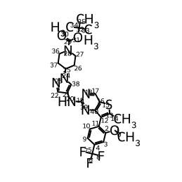 COc1cc(C(F)(F)F)ccc1-c1c(C)sc2cnc(Nc3cnn(C4CCN(C(=O)OC(C)(C)C)CC4)c3)nc12